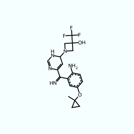 CC1(Oc2ccc(N)c(C(=N)C3=CC(N4CC(O)(C(F)(F)F)C4)NC=N3)c2)CC1